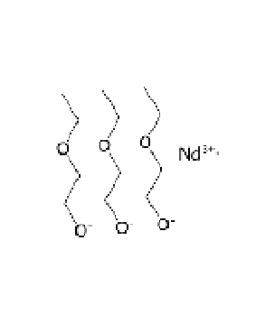 CCOCC[O-].CCOCC[O-].CCOCC[O-].[Nd+3]